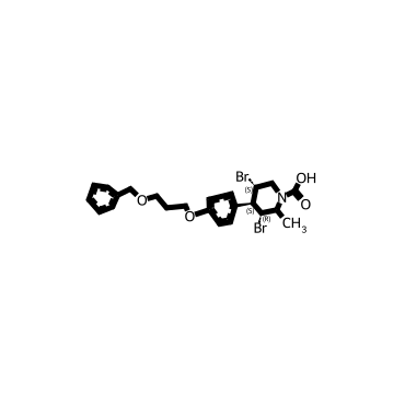 CC1[C@H](Br)[C@@H](c2ccc(OCCCOCc3ccccc3)cc2)[C@H](Br)CN1C(=O)O